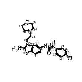 NC1Sc2ccc(NC(=O)Nc3ccc(Cl)cc3)cc2N1CCN1CCOCC1